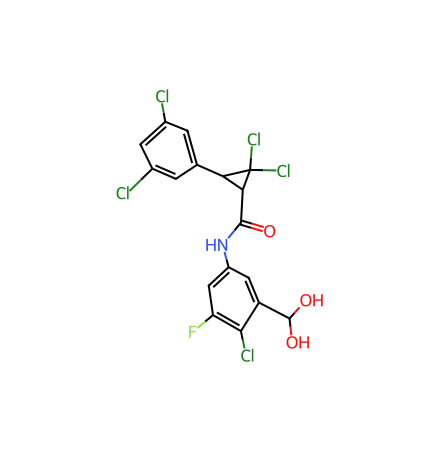 O=C(Nc1cc(F)c(Cl)c(C(O)O)c1)C1C(c2cc(Cl)cc(Cl)c2)C1(Cl)Cl